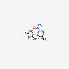 CC(C)c1cc(Cl)ccc1-c1cc(C(F)(F)F)cnc1C(N)=O